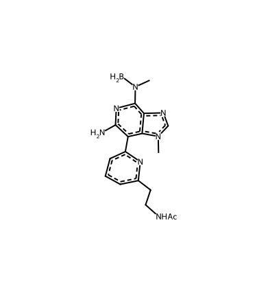 BN(C)c1nc(N)c(-c2cccc(CCNC(C)=O)n2)c2c1ncn2C